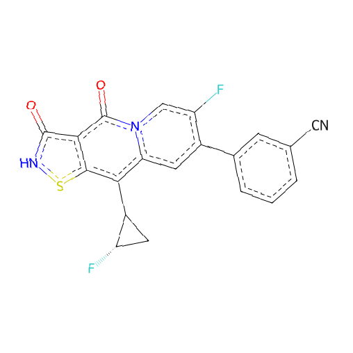 N#Cc1cccc(-c2cc3c(C4C[C@@H]4F)c4s[nH]c(=O)c4c(=O)n3cc2F)c1